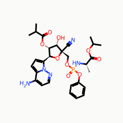 CC(C)OC(=O)[C@H](C)N[P@](=O)(OC[C@@]1(C#N)O[C@@H](c2ccc3c(N)ccnn23)[C@H](OC(=O)C(C)C)[C@@H]1O)Oc1ccccc1